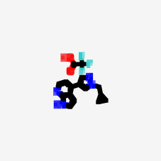 O=C(O)C(F)(F)F.c1cc(-c2cnn(CC3CC3)c2)c2cc[nH]c2n1